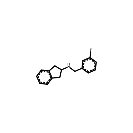 Fc1cccc(CNC2Cc3ccccc3C2)c1